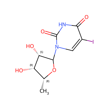 C[C@H]1OC(n2cc(I)c(=O)[nH]c2=O)[C@@H](O)[C@H]1O